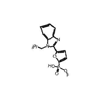 CC(C)Cn1c(-c2ccc(P(=O)(O)OF)o2)nc2ccccc21